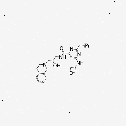 CC(C)Cc1nc(NC2COC2)cc(C(=O)NCC(O)CN2CCc3ccccc3C2)n1